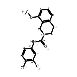 COc1cccc2c1CN(C(=O)Nc1ccc(Cl)c(Cl)c1)CC2